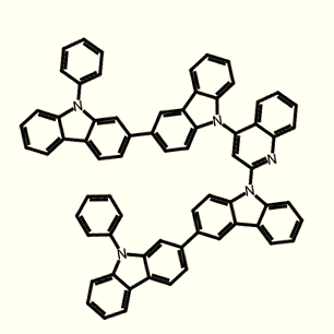 c1ccc(-n2c3ccccc3c3ccc(-c4ccc5c(c4)c4ccccc4n5-c4cc(-n5c6ccccc6c6cc(-c7ccc8c9ccccc9n(-c9ccccc9)c8c7)ccc65)c5ccccc5n4)cc32)cc1